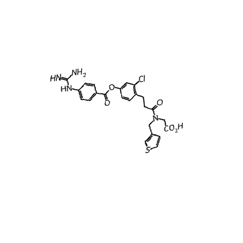 N=C(N)Nc1ccc(C(=O)Oc2ccc(CCC(=O)N(CC(=O)O)Cc3ccsc3)c(Cl)c2)cc1